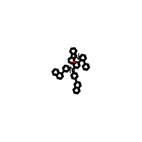 c1ccc(-c2cccc(-n3c4ccccc4c4ccccc43)c2-c2ccc(N(c3ccc(-c4ccc5ccccc5c4)cc3)c3cccc(-c4cccc5ccccc45)c3)cc2)cc1